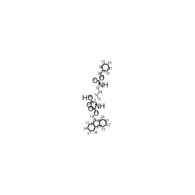 O=C(NCCCC[C@H](NC(=O)OCC1c2ccccc2-c2ccccc21)C(=O)O)OCc1ccccc1